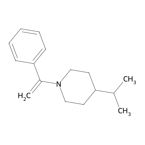 C=C(c1ccccc1)N1CCC(C(C)C)CC1